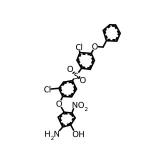 Nc1cc(Oc2ccc(S(=O)(=O)c3ccc(OCc4ccccc4)c(Cl)c3)cc2Cl)c([N+](=O)[O-])cc1O